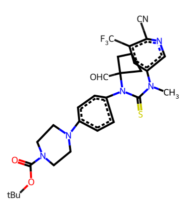 CN(C(=S)N(c1ccc(N2CCN(C(=O)OC(C)(C)C)CC2)cc1)C1(C=O)CCC1)c1cnc(C#N)c(C(F)(F)F)c1